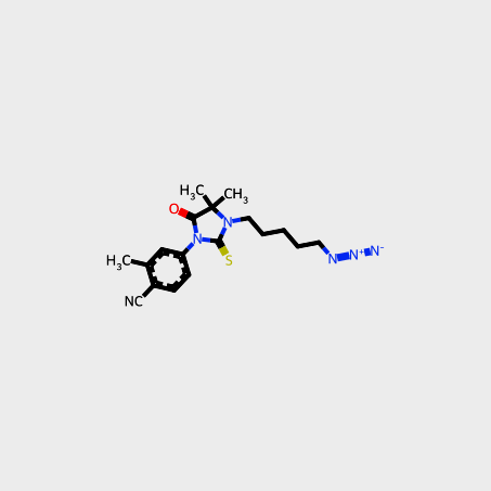 Cc1cc(N2C(=O)C(C)(C)N(CCCCCN=[N+]=[N-])C2=S)ccc1C#N